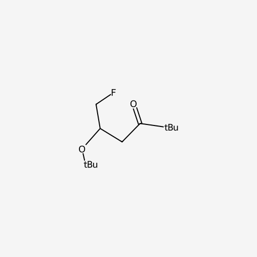 CC(C)(C)OC(CF)CC(=O)C(C)(C)C